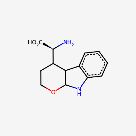 N[C@H](C(=O)O)C1CCOC2Nc3ccccc3C21